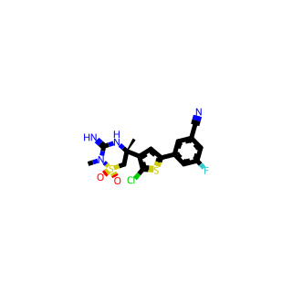 CN1C(=N)N[C@](C)(c2cc(-c3cc(F)cc(C#N)c3)sc2Cl)CS1(=O)=O